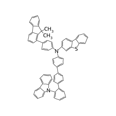 CC1(C)c2ccccc2-c2cccc(-c3ccc(N(c4ccc(-c5ccc(-c6ccccc6-n6c7ccccc7c7ccccc76)cc5)cc4)c4ccc5c(c4)sc4ccccc45)cc3)c21